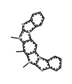 Cc1c2c(cc3c1n(C)c1nc4ccccc4n31)n1c3ccccc3nc1n2C